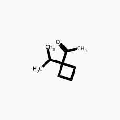 CC(=O)C1(C(C)C)CCC1